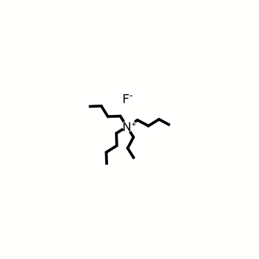 CCCC[N+](CCC)(CCCC)CCCC.[F-]